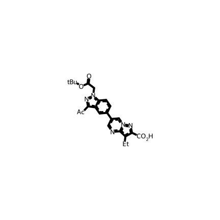 CCc1c(C(=O)O)nn2cc(-c3ccc4c(c3)c(C(C)=O)nn4CC(=O)OC(C)(C)C)cnc12